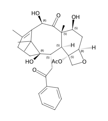 CC(=O)O[C@@]12CO[C@@H]1C[C@H](O)[C@@]1(C)C(=O)[C@H](O)C3=C(C)CC[C@@](O)([C@@H](CC(=O)c4ccccc4)[C@H]21)C3(C)C